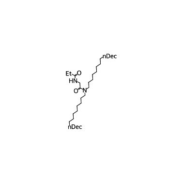 CCCCCCCCCCCCCCCCCCN(CCCCCCCCCCCCCCCCCC)C(=O)CNC(=O)CC